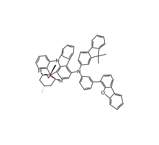 CC1(C)c2ccccc2-c2ccc(N(c3cccc(-c4cccc5c4oc4ccccc45)c3)c3ccc4c5c3c3ccccc3n5-c3ccccc3C43[C@H]4C[C@@H](C)C[C@@H]3C[C@@H](C)C4)cc21